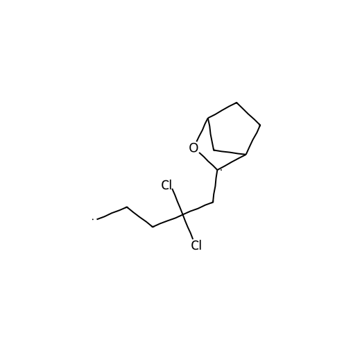 [CH2]CCC(Cl)(Cl)C[C]1OC2CCC1C2